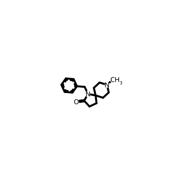 CN1CCC2(CCC(=O)N2Cc2ccccc2)CC1